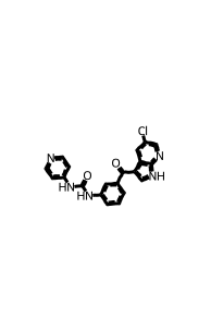 O=C(Nc1ccncc1)Nc1cccc(C(=O)c2c[nH]c3ncc(Cl)cc23)c1